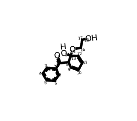 O=C(c1ccccc1)C1C=CC=CC1(O)OCCO